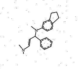 CN(C)C=CC(c1ccccc1)N(C)c1ccc2c(c1)CCC2